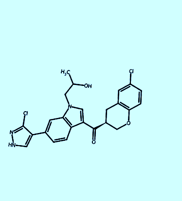 CC(O)Cn1cc(C(=O)[C@@H]2COc3ccc(Cl)cc3C2)c2ccc(-c3c[nH]nc3Cl)cc21